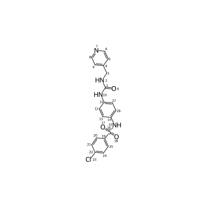 O=C(NCc1ccncc1)Nc1ccc(NS(=O)(=O)c2ccc(Cl)cc2)cc1